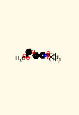 COC(=O)c1cccc(Oc2cccc(C3CCN(C(=O)OC(C)(C)C)CC3)c2)c1